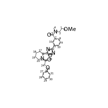 COCCN(C)C(=O)c1cccc(-c2noc(C3CCCCN3C(=O)COc3ccccc3)n2)c1